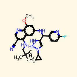 COc1cc(NC(C2=CN(C3CC3)NN2)c2ccc(F)nc2)cc2c(NCC(C)(C)C)c(C#N)cnc12